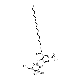 CCCCCCCCCCCCCCCC(=O)c1cc([N+](=O)[O-])ccc1O[C@H]1O[C@H](CO)[C@@H](O)[C@H](O)[C@H]1O